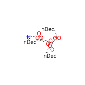 CCCCCCCCCCCCCC(=O)OCC(COC(=O)CCCCCCCCCCCCC)OC(=O)CCC(CCCCCCCCCCCC)OC(=O)OCCCN(C)C